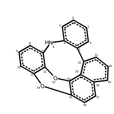 c1ccc2c(c1)Nc1cccc3c1Oc1c(ccc4cccc-2c14)O3